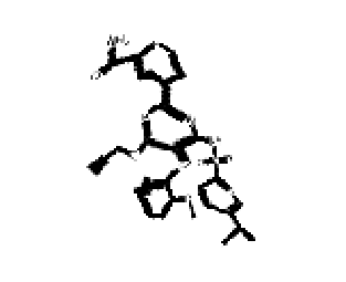 C#CCOc1nc(-c2ccnc(C(N)=O)c2)nc(NS(=O)(=O)c2ccc(C(C)C)cn2)c1Oc1ccccc1OC